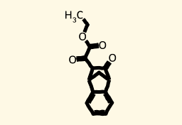 CCOC(=O)C(=O)C1C(=O)C2CC1c1ccccc12